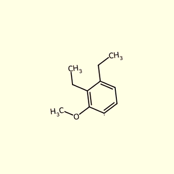 CCc1cc[c]c(OC)c1CC